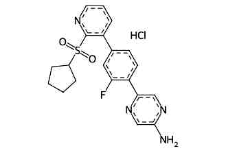 Cl.Nc1cnc(-c2ccc(-c3cccnc3S(=O)(=O)C3CCCC3)cc2F)cn1